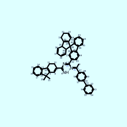 C/C(=N\C(=N/C(=N)C1=CC2=C(CC1)c1ccccc1C2(C)C)c1ccc2c(c1)C1(C3=C(CCC=C3)C3C=CC=CC31)c1ccccc1-2)c1ccc(-c2ccccc2)cc1